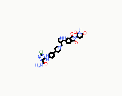 NC(=O)c1nnc(Cl)nc1Nc1ccc(C2CCN(CC3CCNC3c3ccc4c(c3)C(=O)N(C3C=CC(=O)NC3=O)C4=O)CC2)cc1